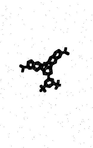 CC(C)c1ccc2cc3c(cc2c1)c1cc(-c2cc(C(C)(C)C)cc(C(C)(C)C)c2)cc2c4cc5cc(C(C)C)ccc5cc4n3c12